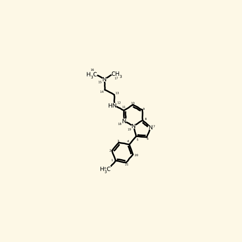 Cc1ccc(-c2cnc3ccc(NCCN(C)C)nn23)cc1